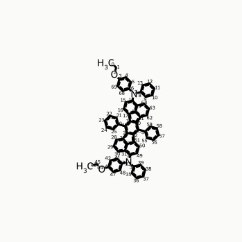 CCOc1ccc(N(c2ccccc2)c2ccc3c4c(-c5ccccc5)c5c6cccc7c(N(c8ccccc8)c8ccc(OCC)cc8)ccc(c5c(-c5ccccc5)c4c4cccc2c43)c76)cc1